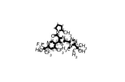 CC1CCCN1C(=O)c1nc(-c2nnc(C(C)(C)O)n2C)sc1-c1cnc(C(O)(C(F)(F)F)C(F)(F)F)cc1C(F)(F)F